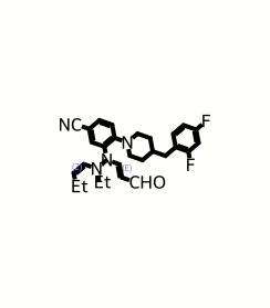 CC/C=C\N(CC)N(/C=C/C=O)c1cc(C#N)ccc1N1CCC(Cc2ccc(F)cc2F)CC1